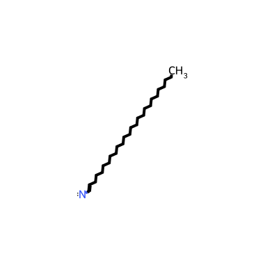 CCCCCCCCCCCCCCCCCCCCCCCCC=C[N]